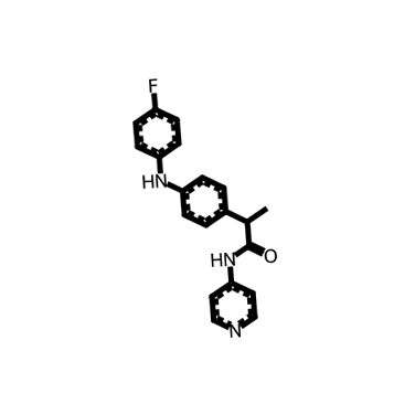 CC(C(=O)Nc1ccncc1)c1ccc(Nc2ccc(F)cc2)cc1